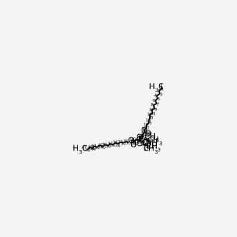 CCCCCCCCCCCCCCCCCCOC(=O)CCP(=O)(CCC(=O)OCCCCCCCCCCCCCCCCCC)C1(O)CC(C)(C)NC(C)(C)C1